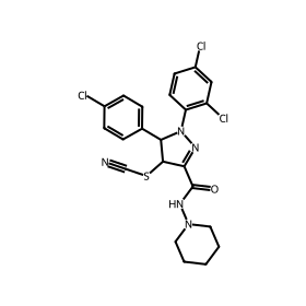 N#CSC1C(C(=O)NN2CCCCC2)=NN(c2ccc(Cl)cc2Cl)C1c1ccc(Cl)cc1